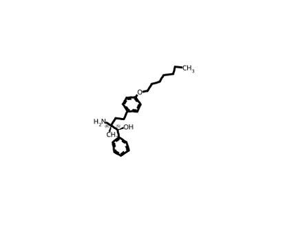 CCCCCCCOc1ccc(CC[C@@](C)(N)[C@@H](O)c2ccccc2)cc1